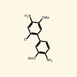 COc1cc(-c2cc(OC)c(N)cc2Cl)ccc1N